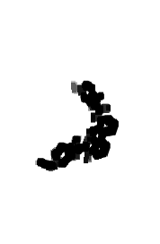 CCN1CCc2c(nc(C(=O)Nc3cccc(-c4cccc(NC(=O)c5nc6c(n5C)CCNC6)c4C#N)c3Cl)n2C)C1